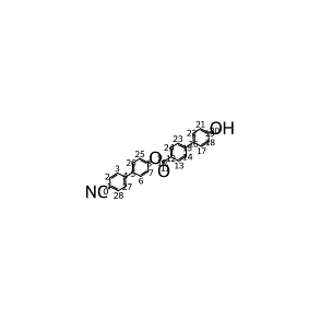 N#Cc1ccc(-c2ccc(OC(=O)c3ccc(-c4ccc(O)cc4)cc3)cc2)cc1